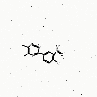 Cc1nnc(-c2ccc(Cl)c([N+](=O)[O-])c2)nc1C